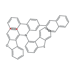 c1ccc(-c2ccc(-c3ccc4ccccc4c3)cc2N(c2cccc3oc4ccccc4c23)c2cccc3sc4ccccc4c23)cc1